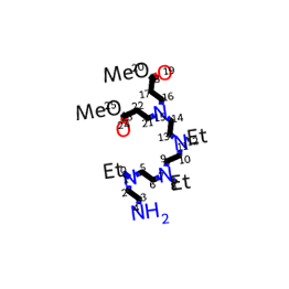 CCN(CCN)CCN(CC)CCN(CC)CCN(CCC(=O)OC)CCC(=O)OC